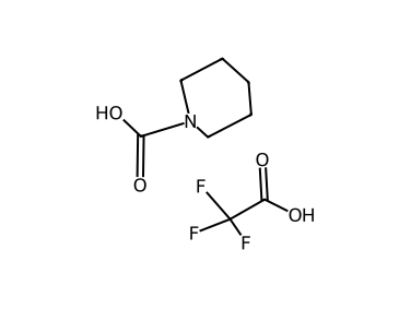 O=C(O)C(F)(F)F.O=C(O)N1CCCCC1